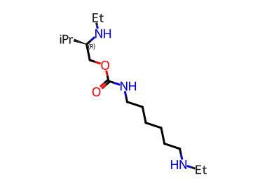 CCNCCCCCCNC(=O)OC[C@H](NCC)C(C)C